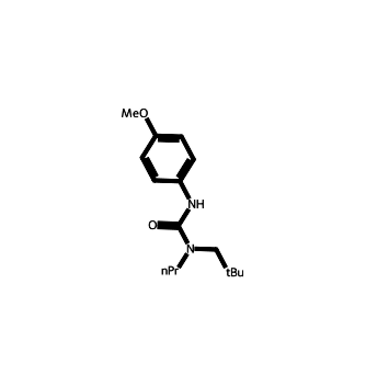 CCCN(CC(C)(C)C)C(=O)Nc1ccc(OC)cc1